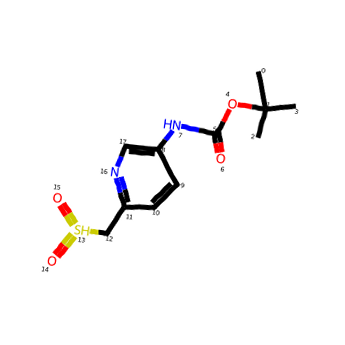 CC(C)(C)OC(=O)Nc1ccc(C[SH](=O)=O)nc1